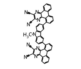 Cn1c2ccc(-c3cccc4c5ccccc5c5nc(C#N)c(C#N)nc5c34)cc2c2cc(-c3cccc4c5ccccc5c5nc(C#N)c(C#N)nc5c34)ccc21